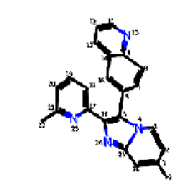 Cc1ccn2c(-c3ccc4ncccc4c3)c(-c3cccc(C)n3)nc2c1